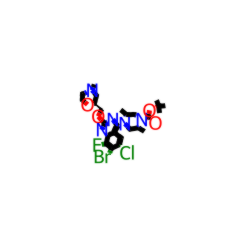 CC1CN(c2nc(OC[C@@H]3CN(C)CCO3)nc3c(F)c(Br)c(Cl)cc23)C(C)CN1C(=O)OC(C)(C)C